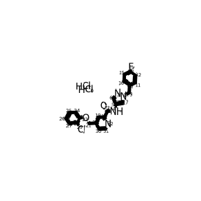 Cl.Cl.O=C(Nc1cnn(Cc2ccc(F)cc2)c1)c1cc(COc2ccccc2Cl)ccn1